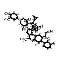 Cc1nc2c(F)c(-c3cccc(Cl)c3Cl)c(CCC#N)cc2c2c1cc([C@H]1[C@H]3C[C@H](CN(c4ccc(Cl)c(Cl)c4)C3)N1C(=O)C1CC1)n2[C@H]1[C@H]2CN[C@@H]1C2